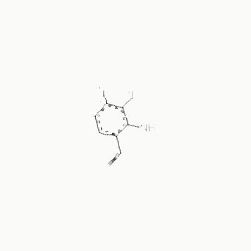 C=Cc1ccc(Cl)c(Br)c1N